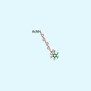 CC(=O)NCCOCCOCCOCCOCCC(=O)Oc1c(F)c(F)c(F)c(F)c1F